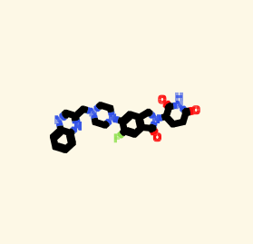 O=C1CCC(N2Cc3cc(N4CCN(Cc5cnc6ccccc6n5)CC4)c(F)cc3C2=O)C(=O)N1